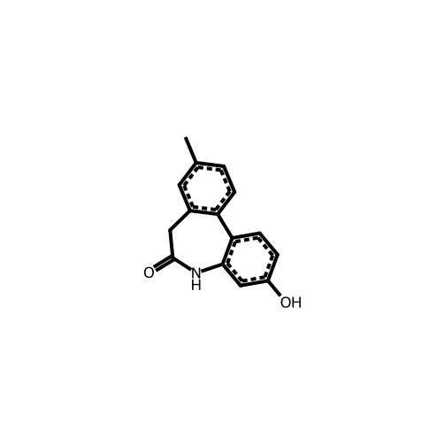 Cc1ccc2c(c1)CC(=O)Nc1cc(O)ccc1-2